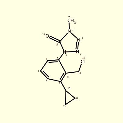 Cn1nnn(-c2cccc(C3CC3)c2CCl)c1=O